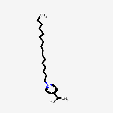 CCCCCCCCCCCCCCCC[n+]1ccc(C(C)C)cc1